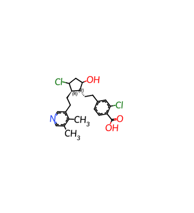 Cc1cncc(CC[C@H]2C(Cl)CC(O)[C@@H]2CCc2ccc(C(=O)O)c(Cl)c2)c1C